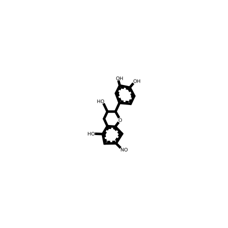 O=Nc1cc(O)c2c(c1)OC(c1ccc(O)c(O)c1)C(O)C2